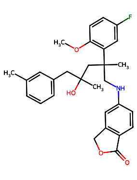 COc1ccc(F)cc1C(C)(CNc1ccc2c(c1)COC2=O)CC(C)(O)Cc1cccc(C)c1